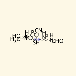 CC1(O)CC(n2cc3cc(/C(S)=C(/C=C/CC(N)CCCNC=O)c4ccc(C#N)c(P)c4)ccc3n2)C1